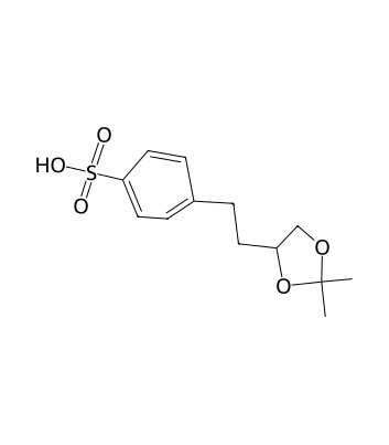 CC1(C)OCC(CCc2ccc(S(=O)(=O)O)cc2)O1